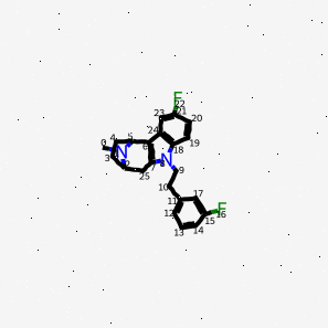 CN1C2CCC1c1c(n(CCc3cccc(F)c3)c3ccc(F)cc13)C2